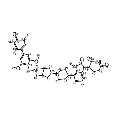 COc1cc(-c2cn(C)c(=O)c(C)c2C)cc(OC)c1CN1CC2CC(N3CCC(c4cccc5c4n(C)c(=O)n5C4CCC(=O)NC4=O)CC3)CC2C1